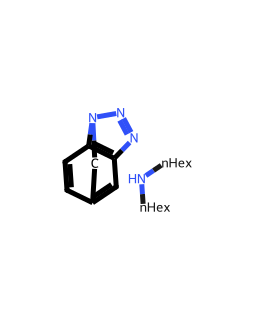 CCCCCCNCCCCCC.c1cc2c3cc1Cn2nn3